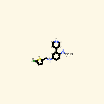 CCOC(=O)Nc1ccc(NCc2ccc(Cl)s2)cc1-c1ccncc1